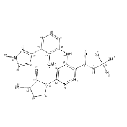 [2H]C([2H])([2H])NC(=O)c1nnc(N2CCN(C(C)C)C2=O)cc1Nc1cccc(-c2cnn(C)n2)c1OC